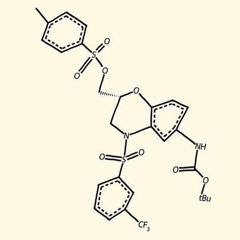 Cc1ccc(S(=O)(=O)OC[C@H]2CN(S(=O)(=O)c3cccc(C(F)(F)F)c3)c3cc(NC(=O)OC(C)(C)C)ccc3O2)cc1